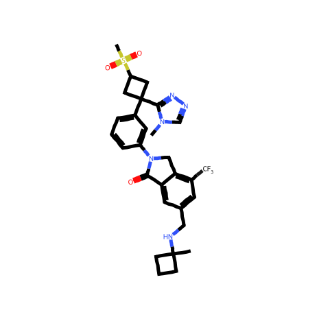 Cn1cnnc1C1(c2cccc(N3Cc4c(cc(CNC5(C)CCC5)cc4C(F)(F)F)C3=O)c2)CC(S(C)(=O)=O)C1